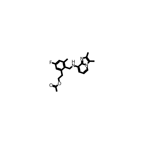 CC(=O)OCCc1cc(F)cc(C)c1CNc1cccn2c(C)c(C)nc12